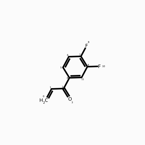 C=CC(=O)c1ccc(F)c(F)c1